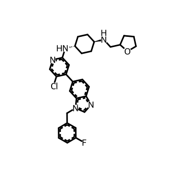 Fc1cccc(Cn2cnc3ccc(-c4cc(N[C@H]5CC[C@H](NCC6CCCO6)CC5)ncc4Cl)cc32)c1